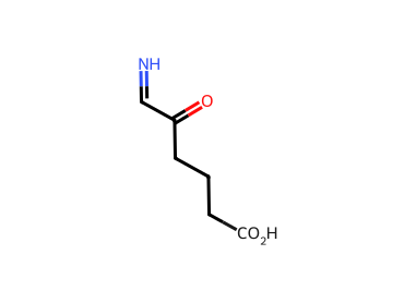 N=CC(=O)CCCC(=O)O